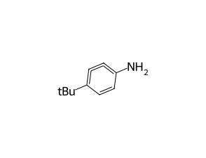 CC(C)(C)C1=C=C=C(N)C=C1